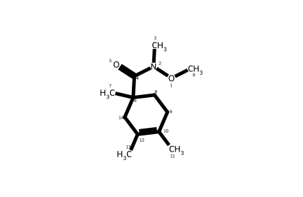 CON(C)C(=O)C1(C)CCC(C)=C(C)C1